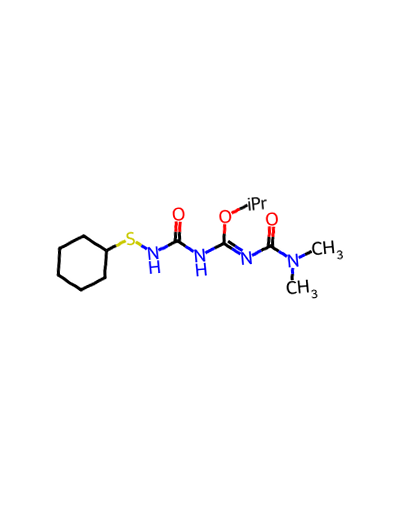 CC(C)OC(=NC(=O)N(C)C)NC(=O)NSC1CCCCC1